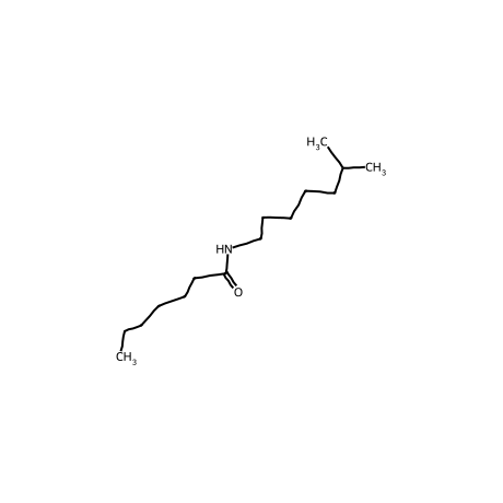 CCCCCCC(=O)NCCCCCC(C)C